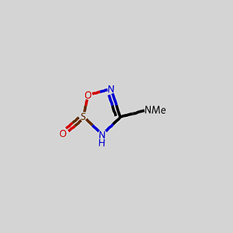 CNC1=NOS(=O)N1